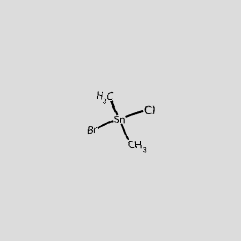 [CH3][Sn]([CH3])([Cl])[Br]